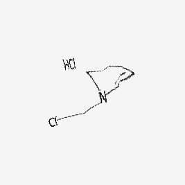 Cl.ClCN1C=CCC1